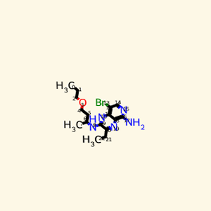 CCCOCCC(C)Nc1nc2c(Br)cnc(N)c2nc1CC